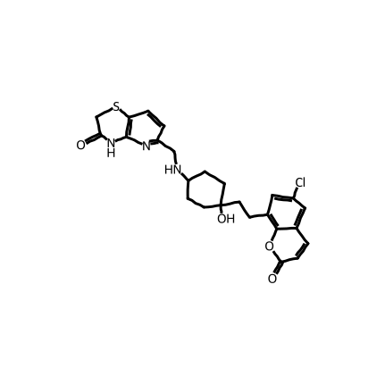 O=C1CSc2ccc(CNC3CCC(O)(CCc4cc(Cl)cc5ccc(=O)oc45)CC3)nc2N1